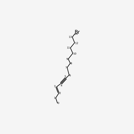 CCC=CC#CCCCCCCCCBr